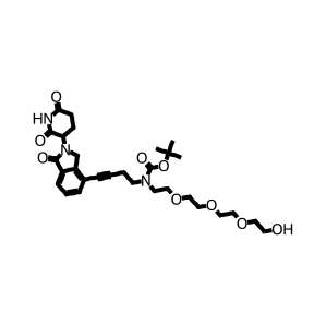 CC(C)(C)OC(=O)N(CCC#Cc1cccc2c1CN(C1CCC(=O)NC1=O)C2=O)CCOCCOCCOCCO